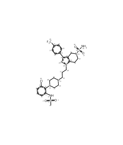 CS(=O)(=O)Nc1cccc(Cl)c1N1CCN(CCCn2nc(-c3ccc(C(F)(F)F)cc3)c3c2CCN(S(N)(=O)=O)C3)CC1